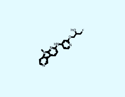 Cn1c2ccncc2c2ccc(Nc3ccnc(OCC(O)CF)c3)nc21